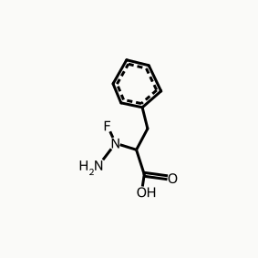 NN(F)C(Cc1ccccc1)C(=O)O